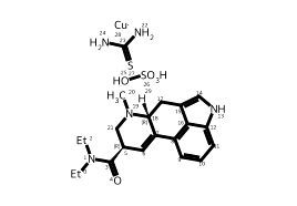 CCN(CC)C(=O)[C@@H]1C=C2c3cccc4[nH]cc(c34)C[C@H]2N(C)C1.NC(N)=S.O=S(=O)(O)O.[Cu]